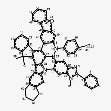 Cn1c(-c2ccccc2)nc2cc3c(cc21)-n1c2cc4c(cc2c2c5c(c6c(c21)B3N(c1ccc(C(C)(C)C)cc1)c1cc2oc3ccccc3c2cc1-6)-c1ccccc1C5(C)C)CCCC4